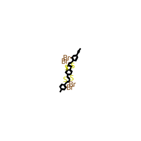 CC#Cc1ccc(-c2sc3c(sc4cc5c(cc43)sc3c(Br)c(-c4ccc(C)cc4Br)sc35)c2Br)c(Br)c1